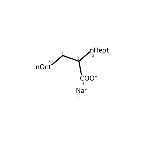 CCCCCCCCCC(CCCCCCC)C(=O)[O-].[Na+]